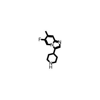 Cc1cc2ncc(C3CCNCC3)n2cc1F